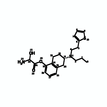 CCCN(CCc1cccs1)[C@H]1CCc2c(cccc2OC(=O)C(N)O)C1